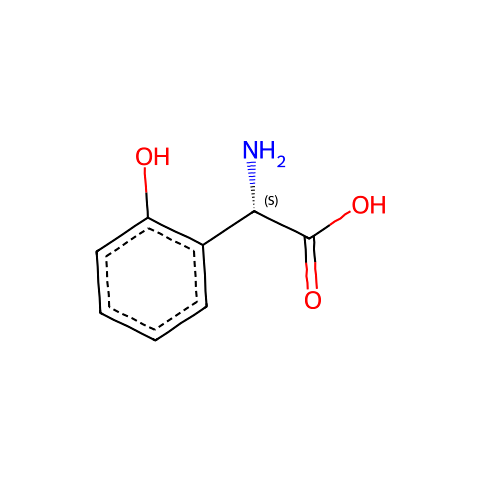 N[C@H](C(=O)O)c1ccccc1O